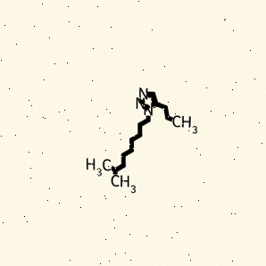 CCCc1cnnn1CCCCCCCC(C)C